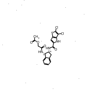 CC(=O)OCC(=O)N[C@H]1c2ccccc2C[C@H]1NC(=O)c1cc2sc(Cl)c(Cl)c2[nH]1